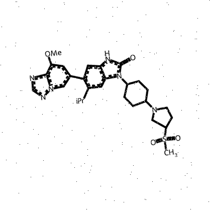 COc1cc(-c2cc3[nH]c(=O)n(C4CCC(N5CCC(S(C)(=O)=O)C5)CC4)c3cc2C(C)C)cn2ncnc12